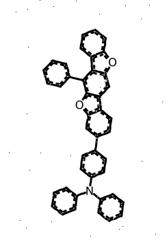 c1ccc(-c2c3oc4cc(-c5ccc(N(c6ccccc6)c6ccccc6)cc5)ccc4c3cc3oc4ccccc4c23)cc1